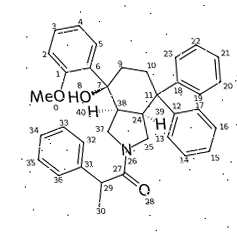 COc1ccccc1[C@]1(O)CCC(c2ccccc2)(c2ccccc2)[C@H]2CN(C(=O)C(C)c3ccccc3)C[C@H]21